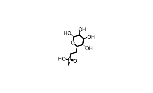 CP(=O)(O)CC[C@H]1O[C@H](O)[C@@H](O)[C@@H](O)[C@@H]1O